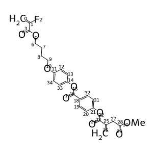 C=C(F)C(=O)OCCCCOc1ccc(OC(=O)c2ccc(OC(=O)C(=C)CC(=O)OC)cc2)cc1